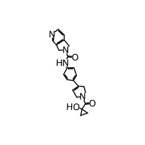 O=C(Nc1ccc(C2=CCN(C(=O)C3(O)CC3)CC2)cc1)N1Cc2ccncc2C1